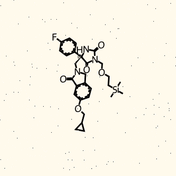 C[Si](C)(C)CCOCN1C(=O)N[C@@](CN2Cc3ccc(OCC4CC4)cc3C2=O)(c2ccc(F)cc2)C1=O